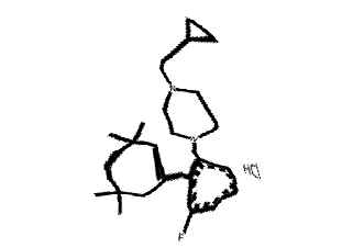 CC1(C)C=C(c2c(F)cccc2N2CCN(CC3CC3)CC2)CC(C)(C)C1.Cl